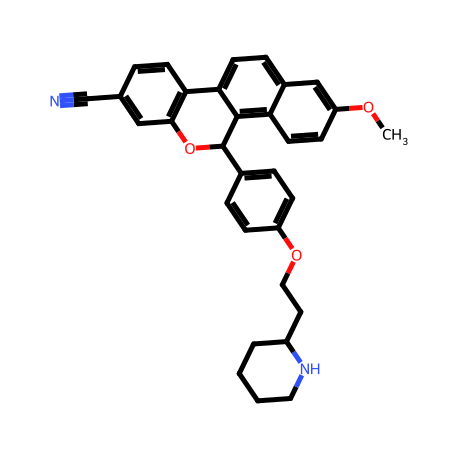 COc1ccc2c3c(ccc2c1)-c1ccc(C#N)cc1OC3c1ccc(OCCC2CCCCN2)cc1